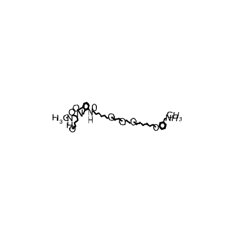 CNCc1cccc(OCCCCCCOCCOCCOCCCCCC(=O)Nc2cccc3c2CN(C(CCC=O)C(=O)NC)C3=O)c1